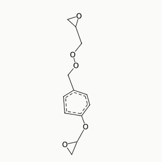 c1cc(OC2CO2)ccc1COOCC1CO1